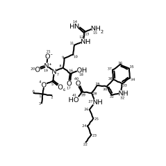 CC(C)(C)OC(=O)N(C(CCCNC(=N)N)C(=O)O)[N+](=O)[O-].CCCCCNC(Cc1c[nH]c2ccccc12)C(=O)O